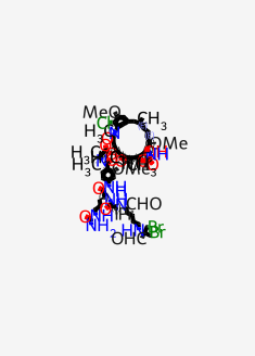 COc1cc(NC(=O)[C@H](CCCNC(N)=O)NC(=O)[C@@H](NC(C=O)CCCCNC(C=O)(CBr)CBr)C(C)C)ccc1C(=O)N(C)[C@@H](C)C(=O)O[C@H]1CC(=O)N(C)c2cc(cc(OC)c2Cl)C/C(C)=C/C=C/[C@@H](OC)[C@@]2(O)C[C@H](OC(=O)N2)[C@@H](C)[C@@H]2O[C@@]12C